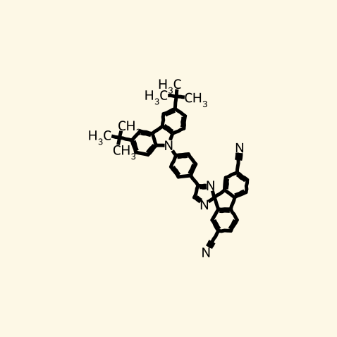 CC(C)(C)c1ccc2c(c1)c1cc(C(C)(C)C)ccc1n2-c1ccc(C2=NC3(N=C2)c2cc(C#N)ccc2-c2ccc(C#N)cc23)cc1